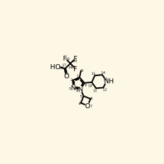 Cc1cnn(C2COC2)c1C1CCNCC1.O=C(O)C(F)(F)F